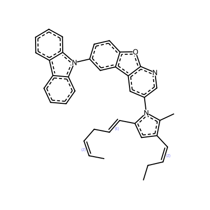 C/C=C\C/C=C/c1cc(/C=C\CC)c(C)n1-c1cnc2oc3ccc(-n4c5ccccc5c5ccccc54)cc3c2c1